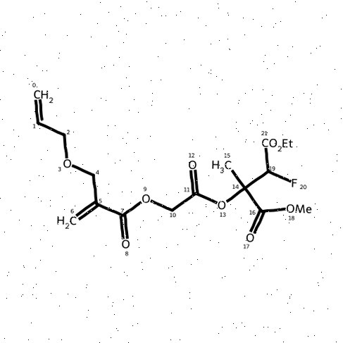 C=CCOCC(=C)C(=O)OCC(=O)OC(C)(C(=O)OC)C(F)C(=O)OCC